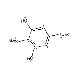 CCCCCCCCCCc1cc(O)c(CCCCCCCCCC)c(O)c1